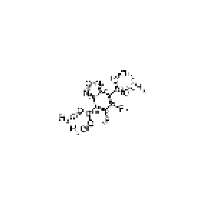 COB(OC)c1c(F)c(F)c(B(OC)OC)c2nonc12